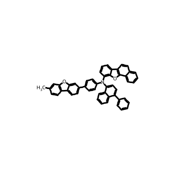 Cc1ccc2c(c1)oc1cc(-c3ccc(N(c4ccc(-c5ccccc5)c5ccccc45)c4cccc5c4oc4c6ccccc6ccc54)cc3)ccc12